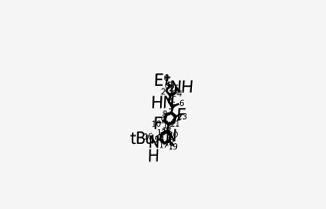 CC[C@H]1CC(NC(C)c2cc(F)c(-c3cc(NC(C)(C)C)cc(C)n3)cc2F)=CN1